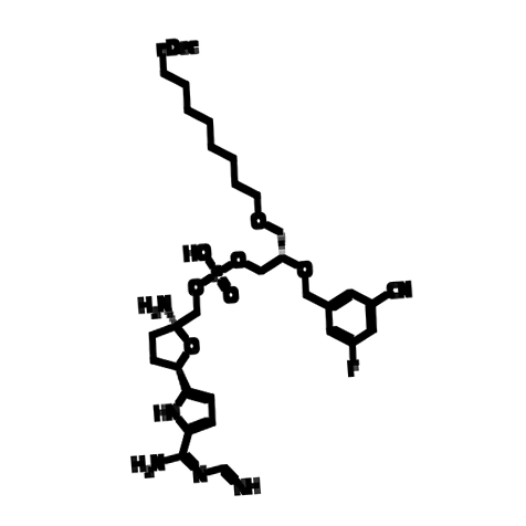 CCCCCCCCCCCCCCCCCCOC[C@@H](COP(=O)(O)OC[C@]1(N)CC[C@H](c2ccc(/C(N)=N\C=N)[nH]2)O1)OCc1cc(F)cc(C#N)c1